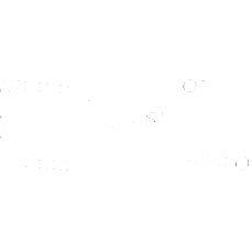 O=C[S+]([O-])c1ccccc1